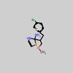 COCC(Cc1ccc(Br)cc1)C1(N)NC=CS1